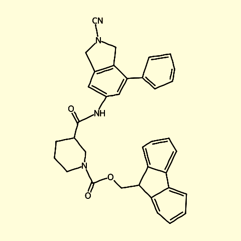 N#CN1Cc2cc(NC(=O)C3CCCN(C(=O)OCC4c5ccccc5-c5ccccc54)C3)cc(-c3ccccc3)c2C1